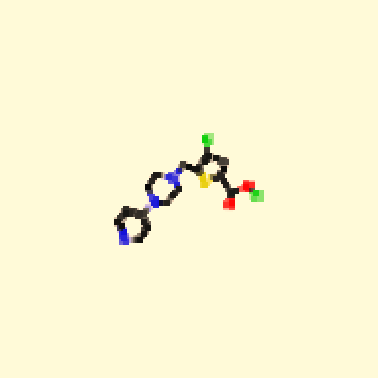 O=C(OCl)c1cc(Cl)c(CN2CCN(c3ccncc3)CC2)s1